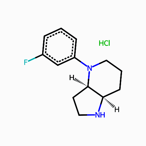 Cl.Fc1cccc(N2CCC[C@H]3NCC[C@H]32)c1